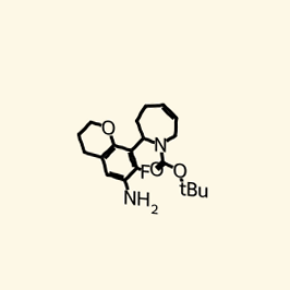 CC(C)(C)OC(=O)N1CC=CCCC1c1c(F)c(N)cc2c1OCCC2